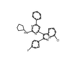 Fc1ccc(-c2nn3c(Cl)cccc3c2-c2cc(-c3ccccc3)nc(NC3CCCC3)n2)cc1